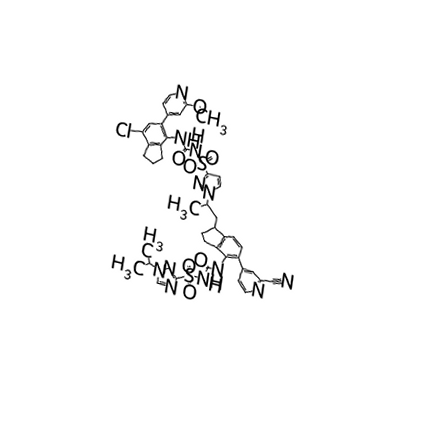 COc1cc(-c2cc(Cl)c3c(c2NC(=O)NS(=O)(=O)c2ccn(C(C)CC4CCc5c4ccc(-c4ccnc(C#N)c4)c5NC(=O)NS(=O)(=O)c4ncn(C(C)C)n4)n2)CCC3)ccn1